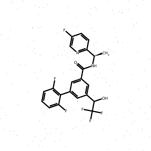 C[C@@H](NC(=O)c1cc(-c2c(F)cccc2F)cc(C(O)C(F)(F)F)c1)c1ccc(F)cn1